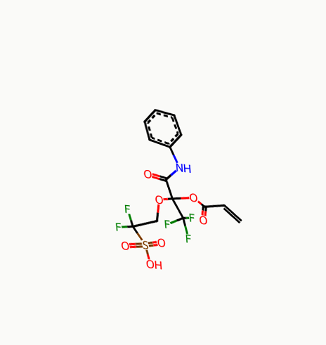 C=CC(=O)OC(OCC(F)(F)S(=O)(=O)O)(C(=O)Nc1ccccc1)C(F)(F)F